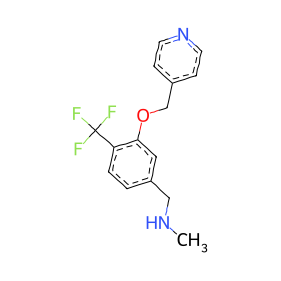 CNCc1ccc(C(F)(F)F)c(OCc2ccncc2)c1